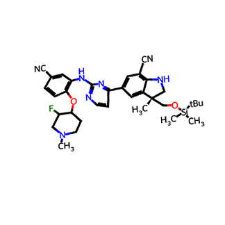 CN1CCC(Oc2ccc(C#N)cc2Nc2nccc(-c3cc(C#N)c4c(c3)[C@@](C)(CO[Si](C)(C)C(C)(C)C)CN4)n2)C(F)C1